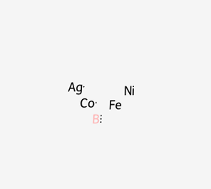 [Ag].[B].[Co].[Fe].[Ni]